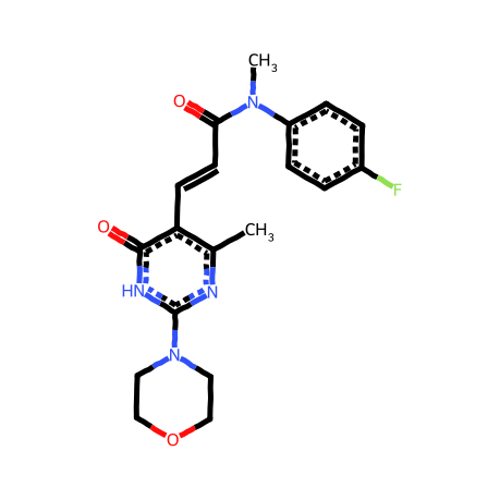 Cc1nc(N2CCOCC2)[nH]c(=O)c1/C=C/C(=O)N(C)c1ccc(F)cc1